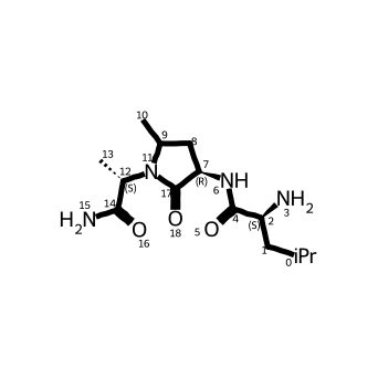 CC(C)C[C@H](N)C(=O)N[C@@H]1CC(C)N([C@@H](C)C(N)=O)C1=O